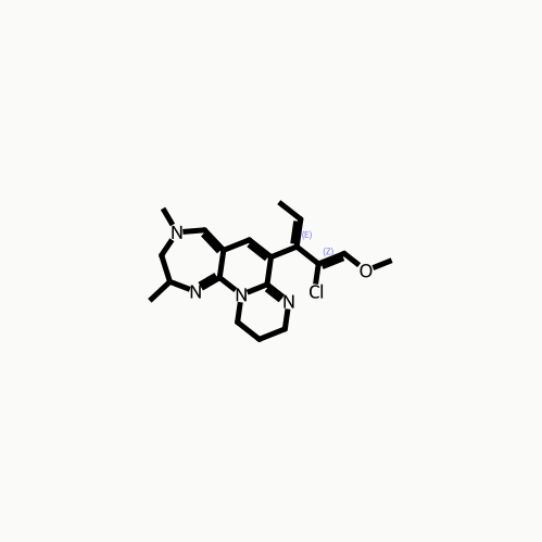 C/C=C(C1=CC2=CN(C)CC(C)N=C2N2CCCN=C12)/C(Cl)=C/OC